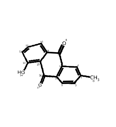 Cc1ccc2c(c1)C(=O)c1cccc(O)c1C2=O